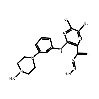 CCc1nc(C(=O)N=NN)c(Nc2cccc(N3CCN(C)CC3)c2)nc1Cl